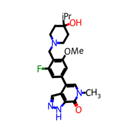 COc1cc(-c2cn(C)c(=O)c3[nH]ncc23)cc(F)c1CN1CCC(O)(C(C)C)CC1